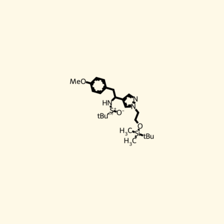 COc1ccc(CC(N[S@+]([O-])C(C)(C)C)c2cnn(CCO[Si](C)(C)C(C)(C)C)c2)cc1